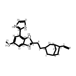 C=CC1CC2CC(CCc3nc4cc(SC)cc(-c5nccs5)c4o3)CC1C2